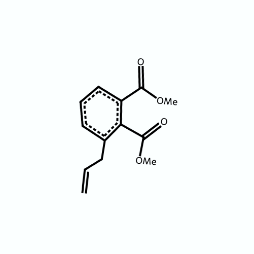 C=CCc1cccc(C(=O)OC)c1C(=O)OC